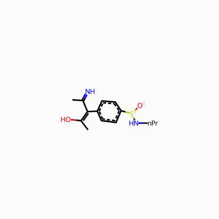 CCCN[S+]([O-])c1ccc(/C(C(C)=N)=C(\C)O)cc1